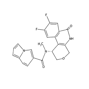 CN(C(=O)c1ccc2cccn2c1)[C@H]1COCc2[nH]c(=O)c3cc(F)c(F)cc3c21